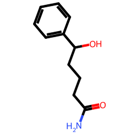 NC(=O)CCCC(O)c1ccccc1